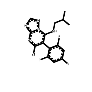 CC(C)CNc1c(-c2c(F)cc(F)cc2F)c(Cl)nc2ncnn12